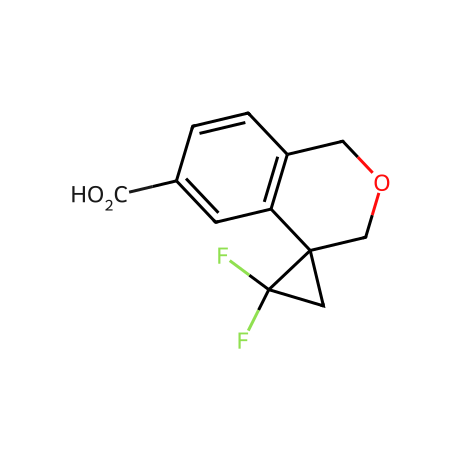 O=C(O)c1ccc2c(c1)C1(COC2)CC1(F)F